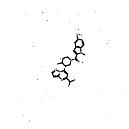 COc1ccc2c(c1)cc(C(=O)N1CCC(C)[C@H](c3cc(C(F)F)nc4ccnn34)C1)n2C